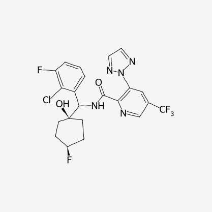 O=C(NC(c1cccc(F)c1Cl)[C@]1(O)CC[C@@H](F)CC1)c1ncc(C(F)(F)F)cc1-n1nccn1